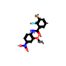 COc1cc([N+](=O)[O-])ccc1NC(=O)c1cccc(Br)c1F